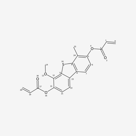 C=CC(=O)Oc1ccc2c(sc3c(OC)c(OC(=O)C=C)ccc32)c1C